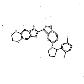 Fc1ccc(F)c([C@H]2CCCN2c2ccn3ncc(-c4nc5cc6c(cc5[nH]4)OCCO6)c3n2)c1